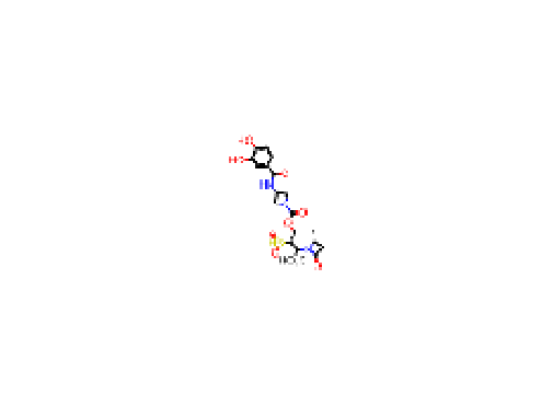 C[C@@H]1CC(=O)N1[C@@H](C(=O)O)[C@H](COC(=O)N1CC(NC(=O)c2ccc(O)c(O)c2)C1)[SH](=O)=O